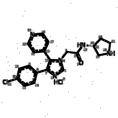 Cl.O=C(Cn1cnc(-c2ccc(Cl)cc2)c1-c1ccncc1)N[C@@H]1CCNC1